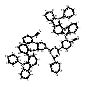 N#Cc1ccccc1-c1ccc(-c2nc(-c3ccccc3)nc(-c3ccc(C#N)c(-n4c5ccccc5c5c4ccc4c6ccccc6n(-c6ccccc6)c45)c3)n2)cc1-n1c2ccccc2c2c1ccc1c3ccccc3n(-c3ccccc3)c12